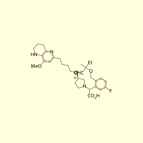 CCC(C)(C=O)OCc1ccc(F)cc1C(C(=O)O)N1CC[C@@H](OCCCCc2cc(OC)c3c(n2)CCCN3)C1